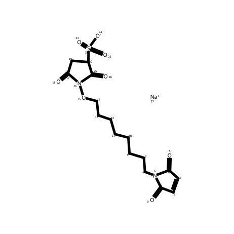 O=C1C=CC(=O)N1CCCCCCCCON1C(=O)CC(S(=O)(=O)[O-])C1=O.[Na+]